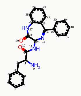 NC(Cc1ccccc1)C(=O)NC1N=C(c2ccccc2)c2ccccc2NC1=O